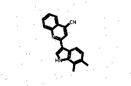 Cc1ccc2c(-c3cc(C#N)c4ccccc4n3)c[nH]c2c1C